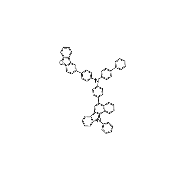 c1ccc(-c2ccc(N(c3ccc(-c4ccc5oc6ccccc6c5c4)cc3)c3ccc(-c4cc5c6ccccc6n(-c6ccccc6)c5c5ccccc45)cc3)cc2)cc1